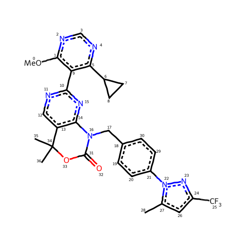 COc1ncnc(C2CC2)c1-c1ncc2c(n1)N(Cc1ccc(-n3nc(C(F)(F)F)cc3C)cc1)C(=O)OC2(C)C